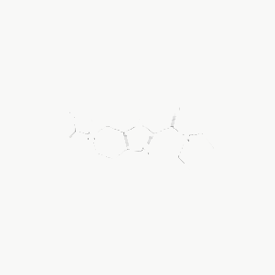 CCN(CC)C(=O)c1nc2c(s1)CN(C(N)=O)CC2